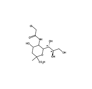 CC1(C(=O)O)CC(O)C(NC(=O)CCl)C([C@H](O)[C@H](O)CO)O1